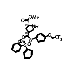 COC(=O)[C@H]1C[C@H](C(=O)N(O[Si](c2ccccc2)(c2ccccc2)C(C)(C)C)c2ccc(OCC(F)(F)F)cc2)CN1